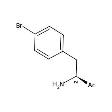 CC(=O)[C@@H](N)Cc1ccc(Br)cc1